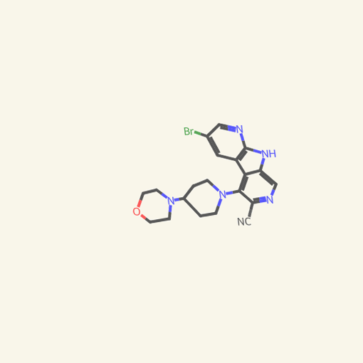 N#Cc1ncc2[nH]c3ncc(Br)cc3c2c1N1CCC(N2CCOCC2)CC1